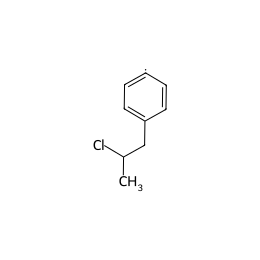 CC(Cl)Cc1cc[c]cc1